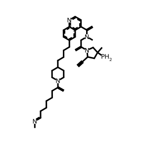 C#CC1CC(C)(P)CN1C(=C)CN(C)C(=C)c1ccnc2ccc(CCCCC3CCN(C(=C)CCCCC/C=N/C)CC3)cc12